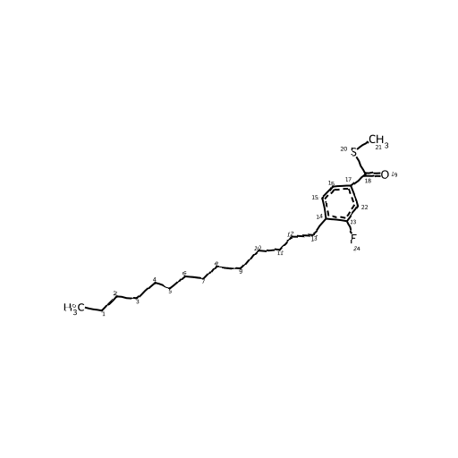 CCCCCCCCCCCCCCc1ccc(C(=O)SC)cc1F